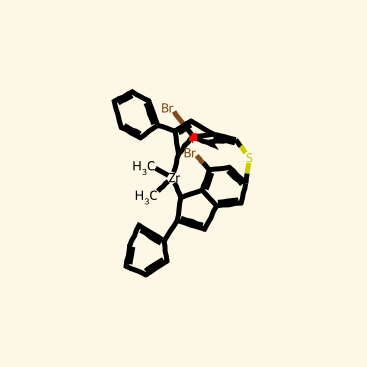 [CH3][Zr]1([CH3])[CH]2C(c3ccccc3)=Cc3cc(cc(Br)c32)Sc2ccc(Br)c3c2C=C(c2ccccc2)[CH]31